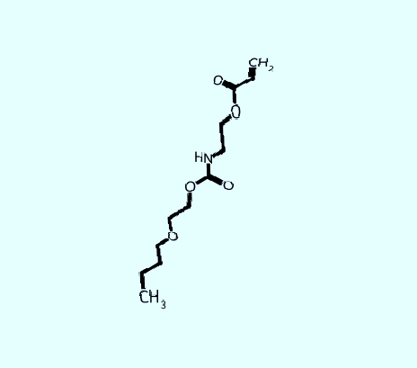 C=CC(=O)OCCNC(=O)OCCOCCCC